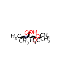 CC(C)/C=C/[C@@H](CCC(=O)OC(C)(C)C)C(=O)O